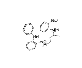 CC(C)CCC(C)Nc1ccccc1N=O.O=Nc1ccccc1Nc1ccccc1